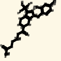 O=C(O)CCNCC(=O)N1CCc2c(C(F)(F)F)nn(Cc3ccc(Cl)cc3F)c2C1